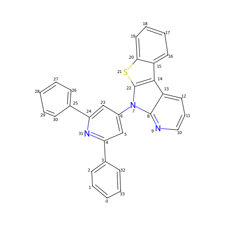 c1ccc(-c2cc(-n3c4ncccc4c4c5ccccc5sc43)cc(-c3ccccc3)n2)cc1